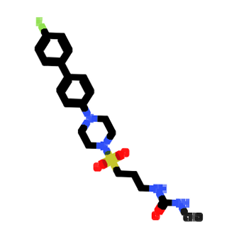 O=CNC(=O)NCCCS(=O)(=O)N1CCN(c2ccc(-c3ccc(F)cc3)cc2)CC1